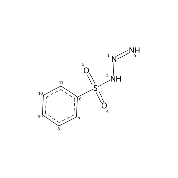 N=NNS(=O)(=O)c1cc[c]cc1